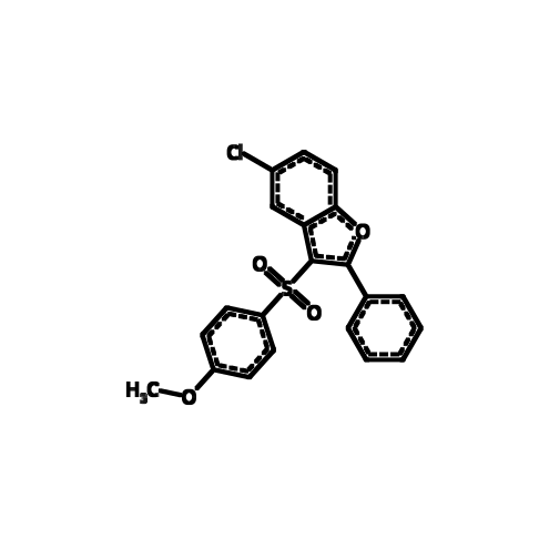 COc1ccc(S(=O)(=O)c2c(-c3ccccc3)oc3ccc(Cl)cc23)cc1